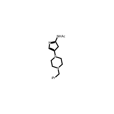 CC(=O)NC1=NC=C(N2CCN(CC(C)C)CC2)C1